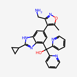 Cc1onc(CN)c1-c1cc(C(O)(c2ccccn2)c2ccccn2)c2nc(C3CC3)[nH]c2c1